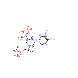 CC(C)(C)[Si](C)(C)OC[C@]1(C)COc2c1cc(C(O)(CO)C(F)(F)F)nc2-c1ccc(F)c(F)c1